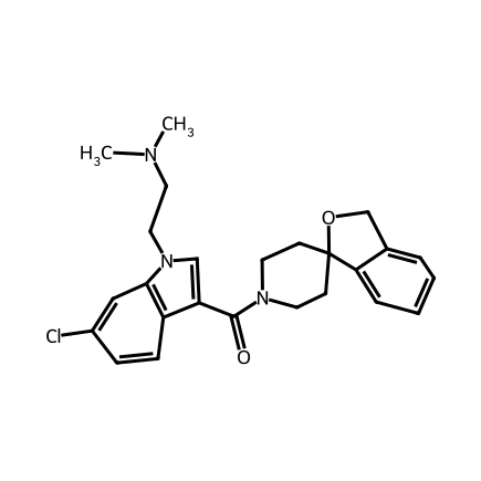 CN(C)CCn1cc(C(=O)N2CCC3(CC2)OCc2ccccc23)c2ccc(Cl)cc21